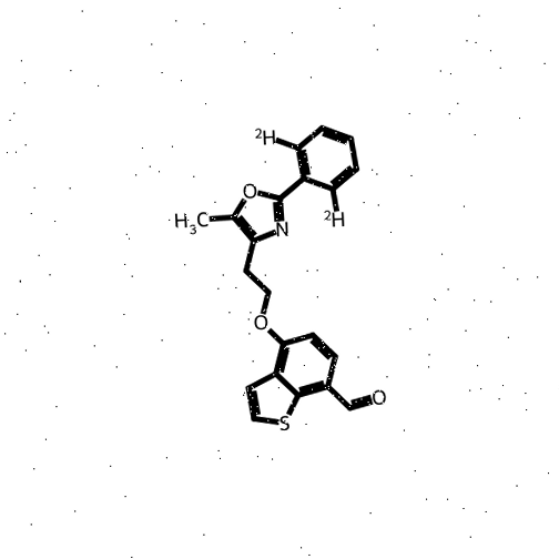 [2H]c1cccc([2H])c1-c1nc(CCOc2ccc(C=O)c3sccc23)c(C)o1